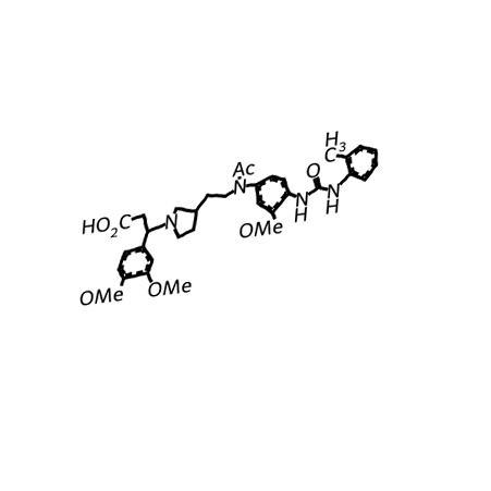 COc1cc(N(CCC2CCN(C(CC(=O)O)c3ccc(OC)c(OC)c3)C2)C(C)=O)ccc1NC(=O)Nc1ccccc1C